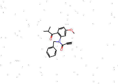 C#CC(=O)N(Cc1ccccc1)c1cc(OC)ccc1C(=O)C(C)C